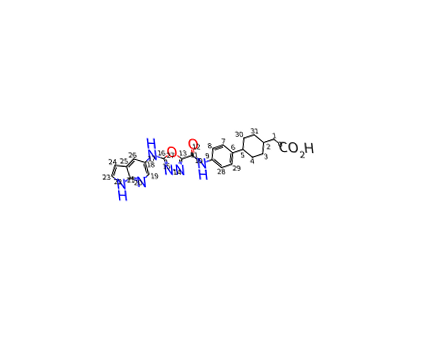 O=C(O)CC1CCC(c2ccc(NC(=O)c3nnc(Nc4cnc5[nH]ccc5c4)o3)cc2)CC1